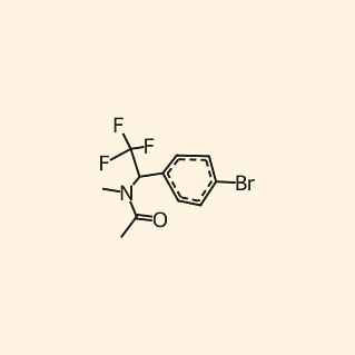 CC(=O)N(C)C(c1ccc(Br)cc1)C(F)(F)F